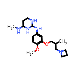 CNC1CCNC(Nc2ccc(OC)c(OCC(C)CN3CCC3)c2)N1